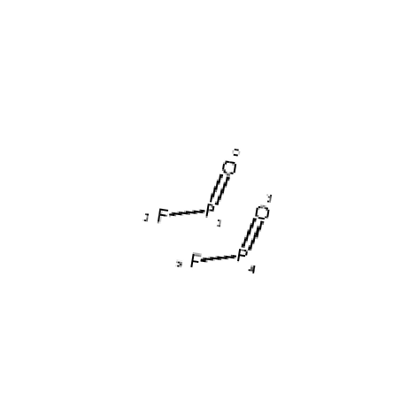 O=PF.O=PF